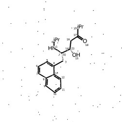 CC(C)N[C@@H](Cc1cccc2ccccc12)[C@@H](O)CC(=O)C(C)C